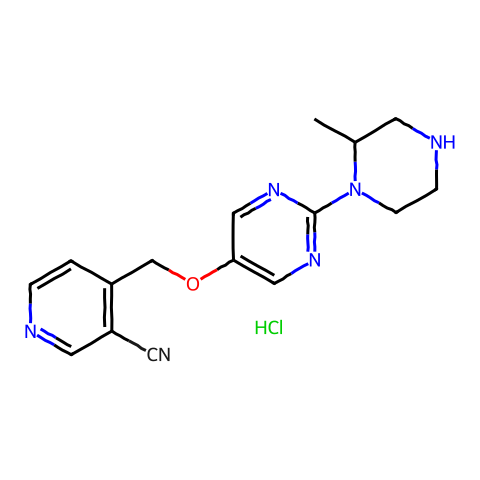 CC1CNCCN1c1ncc(OCc2ccncc2C#N)cn1.Cl